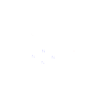 C#C/C=C\C=C(/C)c1nc(-c2ccccc2)nc(-n2c3ccccc3c3c4oc5ccccc5c4cc(-c4ccc5sc6ccccc6c5c4)c32)n1